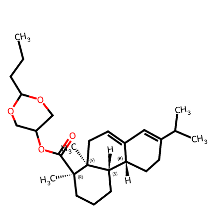 CCCC1OCC(OC(=O)[C@]2(C)CCC[C@H]3[C@H]4CCC(C(C)C)=CC4=CC[C@@]32C)CO1